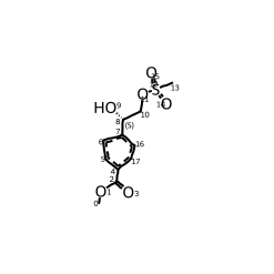 COC(=O)c1ccc([C@H](O)COS(C)(=O)=O)cc1